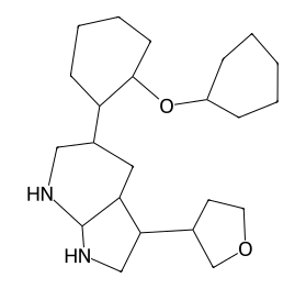 C1CCC(OC2CCCCC2C2CNC3NCC(C4CCOC4)C3C2)CC1